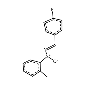 Cc1ccccc1[S+]([O-])/N=C/c1ccc(F)cc1